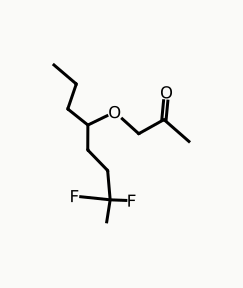 CCCC(CCC(C)(F)F)OCC(C)=O